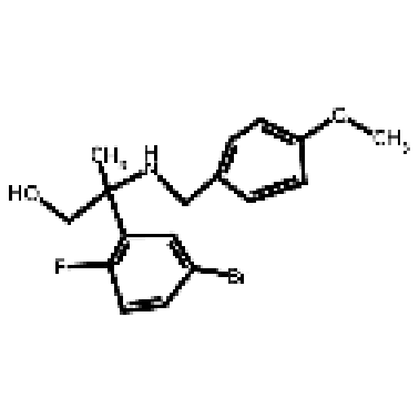 COc1ccc(CNC(C)(CO)c2cc(Br)ccc2F)cc1